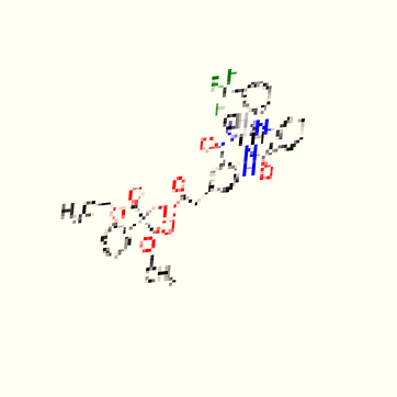 CCOC(=O)C(COC(=O)Cc1ccc(NC(=O)c2ccccc2Nc2cccc(C(F)(F)F)c2)c(C(=O)N(C)C)c1)(C(=O)OCC)c1ccccc1